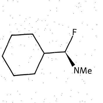 CN[C@H](F)C1CCCCC1